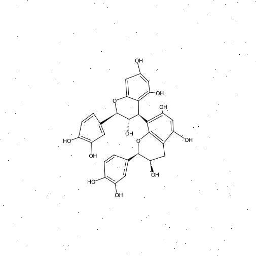 Oc1cc(O)c2c(c1)O[C@H](c1ccc(O)c(O)c1)[C@@H](O)[C@@H]2c1c(O)cc(O)c2c1O[C@H](c1ccc(O)c(O)c1)[C@H](O)C2